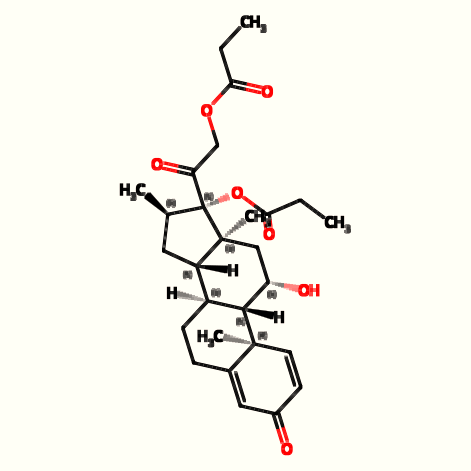 CCC(=O)OCC(=O)[C@]1(OC(=O)CC)[C@H](C)C[C@H]2[C@@H]3CCC4=CC(=O)C=C[C@]4(C)[C@H]3[C@@H](O)C[C@@]21C